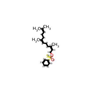 CC(C)=CCCC(C)=CCCC(C)=CCOS(=O)(=S)c1ccccc1